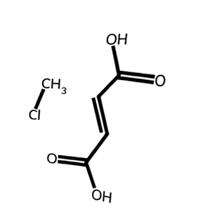 CCl.O=C(O)C=CC(=O)O